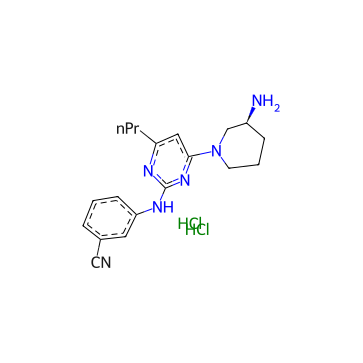 CCCc1cc(N2CCC[C@H](N)C2)nc(Nc2cccc(C#N)c2)n1.Cl.Cl